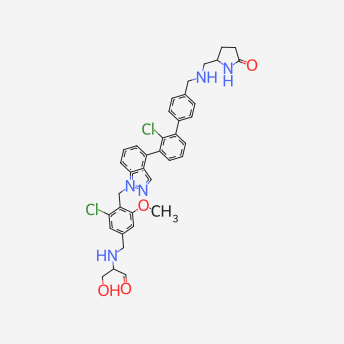 COc1cc(CNC(C=O)CO)cc(Cl)c1Cn1ncc2c(-c3cccc(-c4ccc(CNCC5CCC(=O)N5)cc4)c3Cl)cccc21